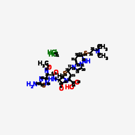 CO/N=C(\C(=O)N[C@@H]1C(=O)N2C(C(=O)O)=CC(CN3C=CN4NC(SCCN(C)C)=CC=C34)S[C@@H]12)c1nsc(N)n1.Cl.Cl